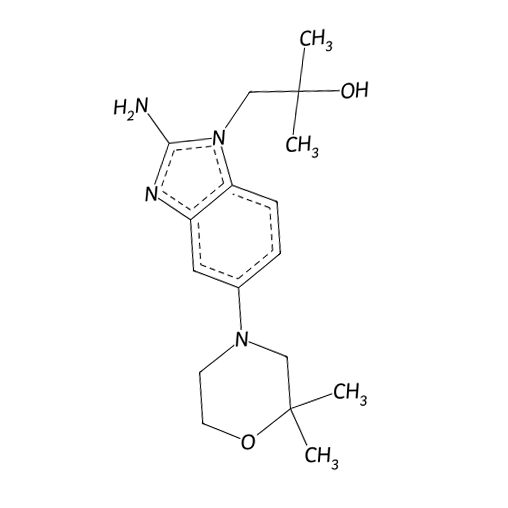 CC(C)(O)Cn1c(N)nc2cc(N3CCOC(C)(C)C3)ccc21